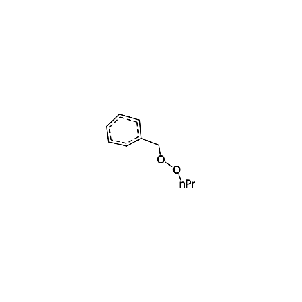 CCCOOCc1ccccc1